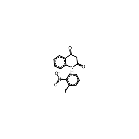 O=C1CC(=O)c2ccccc2N1.O=[N+]([O-])c1ccccc1I